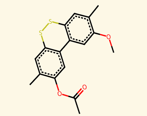 COc1cc2c(cc1C)SSc1cc(C)c(OC(C)=O)cc1-2